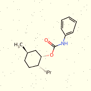 CC(C)[C@@H]1CC[C@@H](C)C[C@@H]1OC(=O)Nc1ccccc1